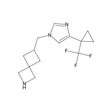 FC(F)(F)C1(c2cn(CC3CC4(CNC4)C3)cn2)CC1